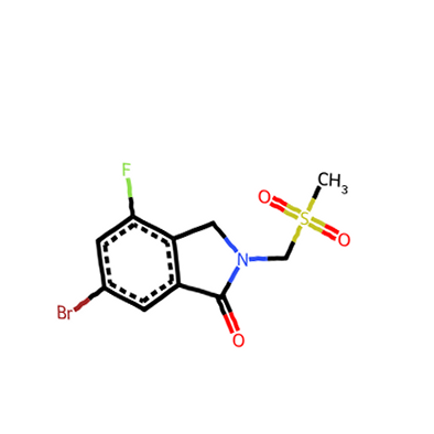 CS(=O)(=O)CN1Cc2c(F)cc(Br)cc2C1=O